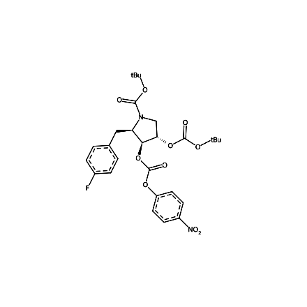 CC(C)(C)OC(=O)O[C@H]1CN(C(=O)OC(C)(C)C)[C@H](Cc2ccc(F)cc2)[C@@H]1OC(=O)Oc1ccc([N+](=O)[O-])cc1